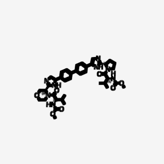 COC(=O)N[C@H](C(=O)N1CCOC[C@H]1C1=NCC(c2ccc(-c3ccc(-c4cnc([C@@H]5CCCN5C(=O)[C@@H](NC(=O)OC)C(C)C)[nH]4)cc3)cc2)N1)C(C)C